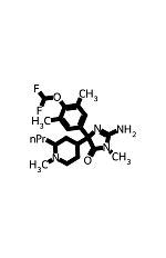 CCCC1CC(C2(c3cc(C)c(OC(F)F)c(C)c3)N=C(N)N(C)C2=O)CCN1C